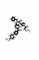 C=CC(=O)N1CCC(N2C(=O)N(Cc3ccccc3)Cc3cnc(Nc4ccc(N5CCN(C)CC5)cc4)nc32)C1